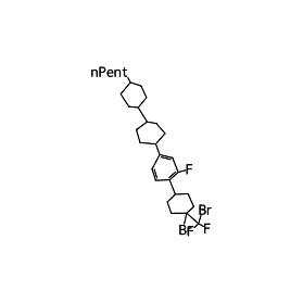 CCCCCC1CCC(C2CCC(c3ccc(C4CCC(Br)(C(F)(F)Br)CC4)c(F)c3)CC2)CC1